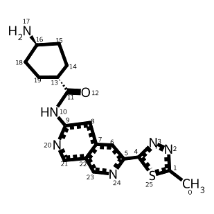 Cc1nnc(-c2cc3cc(NC(=O)[C@H]4CC[C@H](N)CC4)ncc3cn2)s1